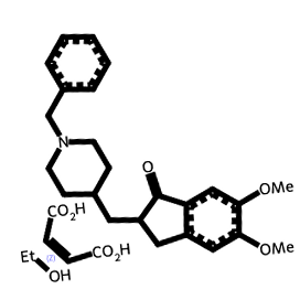 CCO.COc1cc2c(cc1OC)C(=O)C(CC1CCN(Cc3ccccc3)CC1)C2.O=C(O)/C=C\C(=O)O